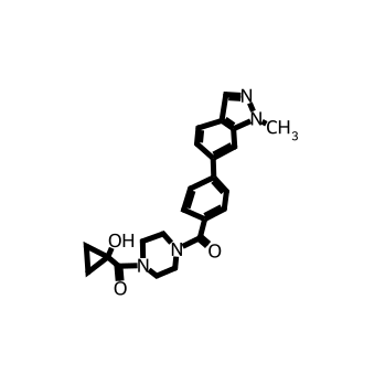 Cn1ncc2ccc(-c3ccc(C(=O)N4CCN(C(=O)C5(O)CC5)CC4)cc3)cc21